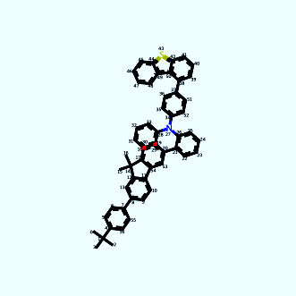 CC(C)(C)c1ccc(-c2ccc3c(c2)C(C)(C)c2ccc(-c4ccccc4N(c4ccccc4)c4ccc(-c5cccc6sc7ccccc7c56)cc4)cc2-3)cc1